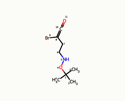 CC(C)(C)ONCCC(Br)=C=O